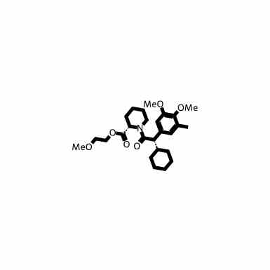 COCCOC(=O)[C@@H]1CCCCN1C(=O)[C@H](c1cc(C)c(OC)c(OC)c1)C1CCCCC1